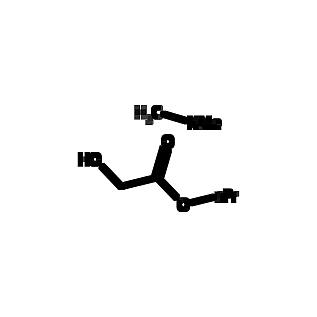 CCCOC(=O)CO.CNC